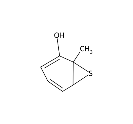 CC12SC1C=CC=C2O